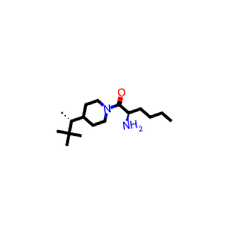 CCCC[C@@H](N)C(=O)N1CCC([C@@H](C)C(C)(C)C)CC1